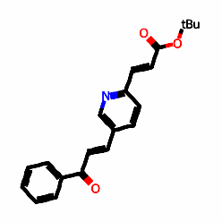 CC(C)(C)OC(=O)/C=C/c1ccc(/C=C/C(=O)c2ccccc2)cn1